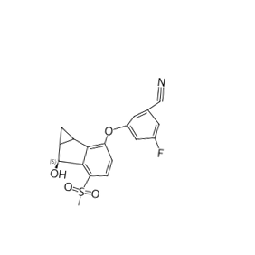 CS(=O)(=O)c1ccc(Oc2cc(F)cc(C#N)c2)c2c1[C@@H](O)C1CC21